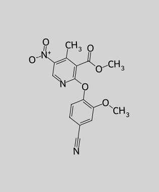 COC(=O)c1c(Oc2ccc(C#N)cc2OC)ncc([N+](=O)[O-])c1C